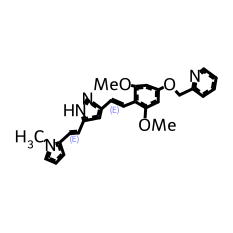 COc1cc(OCc2ccccn2)cc(OC)c1/C=C/c1cc(/C=C/c2cccn2C)[nH]n1